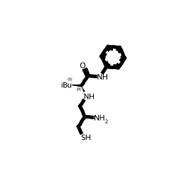 CC[C@H](C)[C@@H](NCC(N)CS)C(=O)Nc1ccccc1